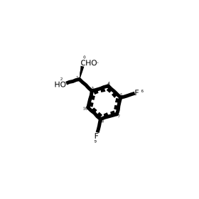 O=[C][C@H](O)c1cc(F)cc(F)c1